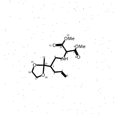 C=CCC(CNC(C(=O)OC)C(=O)OC)C1(C)OCCO1